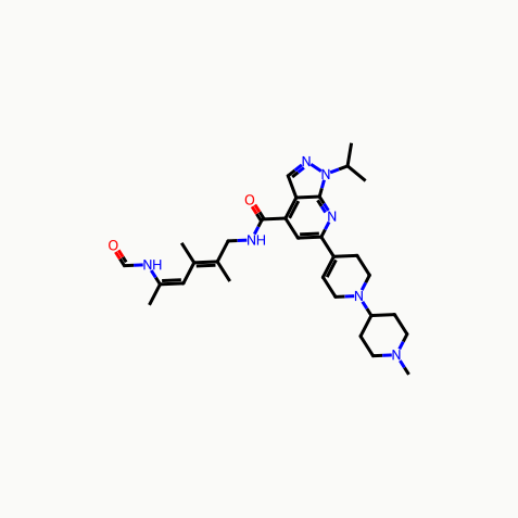 C/C(=C/C(C)=C(\C)CNC(=O)c1cc(C2=CCN(C3CCN(C)CC3)CC2)nc2c1cnn2C(C)C)NC=O